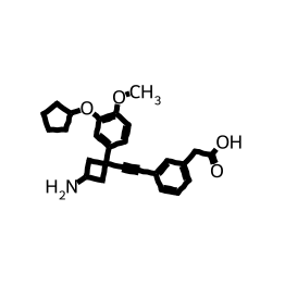 COc1ccc(C2(C#Cc3cccc(CC(=O)O)c3)CC(N)C2)cc1OC1CCCC1